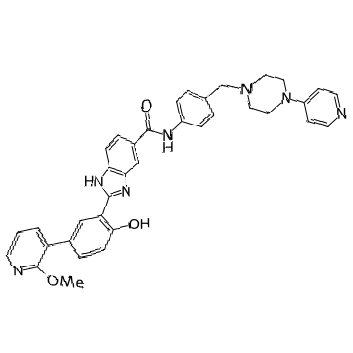 COc1ncccc1-c1ccc(O)c(-c2nc3cc(C(=O)Nc4ccc(CN5CCN(c6ccncc6)CC5)cc4)ccc3[nH]2)c1